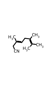 CC(=CCC(C)=C(C)C)CC#N